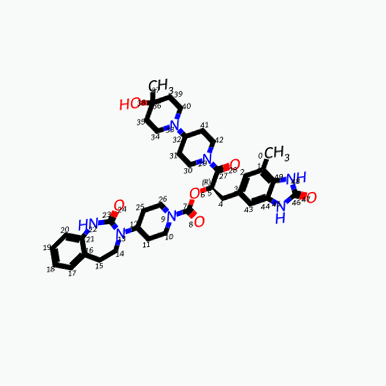 Cc1cc(C[C@@H](OC(=O)N2CCC(N3CCc4ccccc4NC3=O)CC2)C(=O)N2CCC(N3CCC(C)(O)CC3)CC2)cc2[nH]c(=O)[nH]c12